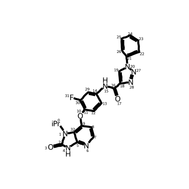 CC(C)n1c(=O)[nH]c2nccc(Oc3ccc(NC(=O)c4cn(-c5ccccc5)nn4)cc3F)c21